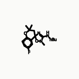 CCCCNC1=NC2(CC(C)(C)Oc3ccc(F)cc32)ON1C